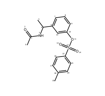 CC(=O)NC(C)c1cccc(OS(=O)(=O)c2ccc(C)cc2)c1